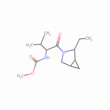 CCC1C2CC2CN1C(=O)C(NC(=O)OC)C(C)C